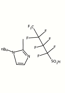 CCCCn1ccnc1C.O=S(=O)(O)C(F)(F)C(F)(F)C(F)(F)C(F)(F)F